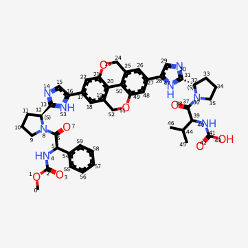 COC(=O)NC(C(=O)N1CCC[C@H]1c1ncc(-c2cc3c4c(c2)OCc2cc(-c5cnc([C@@H]6CCCN6C(=O)C(NC(=O)O)C(C)C)[nH]5)cc(c2-4)OC3)[nH]1)c1ccccc1